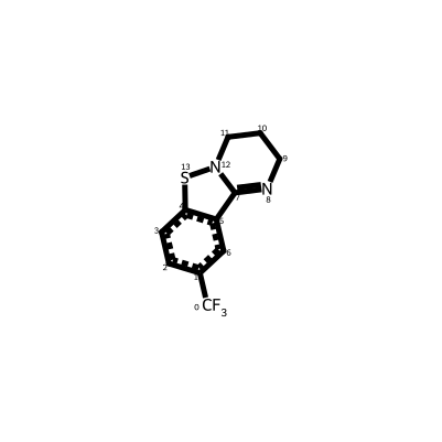 FC(F)(F)c1ccc2c(c1)C1=NCCCN1S2